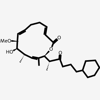 CO[C@H]1/C=C/CC/C=C/C(=O)O[C@@H]([C@@H](C)C(=O)CCCC2CCCCC2)/C(C)=C\[C@H](C)[C@H]1O